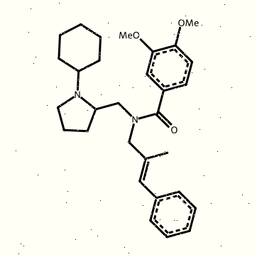 COc1ccc(C(=O)N(C/C(C)=C/c2ccccc2)CC2CCCN2C2CCCCC2)cc1OC